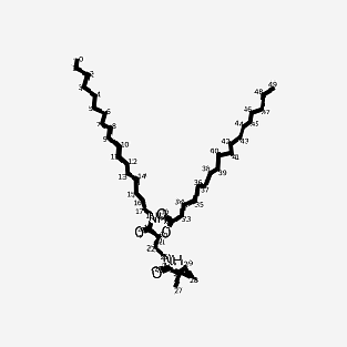 CCCCCCCCCCCCCCCCCCNC(=O)C(CNC(=O)C1(C)CC1)OC(=O)CCCCCCCCCCCCCCCCC